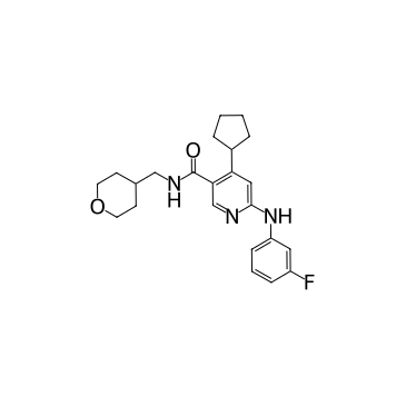 O=C(NCC1CCOCC1)c1cnc(Nc2cccc(F)c2)cc1C1CCCC1